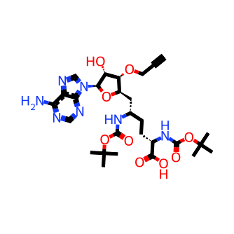 C#CCO[C@H]1[C@@H](O)[C@H](n2cnc3c(N)ncnc32)O[C@@H]1C[C@H](CC[C@H](NC(=O)OC(C)(C)C)C(=O)O)NC(=O)OC(C)(C)C